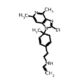 C=CNCCC1=CCC(C)(n2c(CC)nc3c(C)nc(C)cc32)C=C1